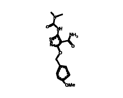 COc1ccc(COc2nsc(NC(=O)N(C)C)c2C(N)=O)cc1